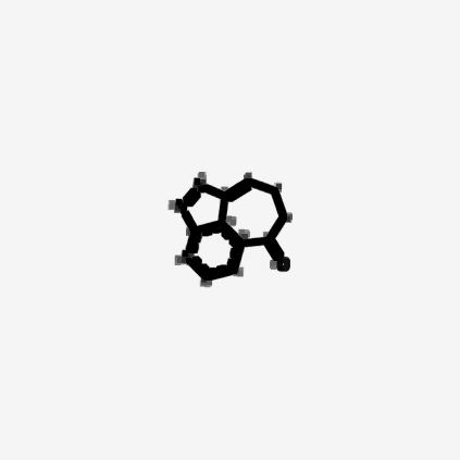 O=C1CCC=C2N=Nc3nccc1c32